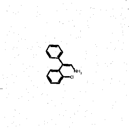 NC=C(c1ccccc1)c1ccccc1Cl